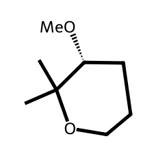 CO[C@@H]1CCCOC1(C)C